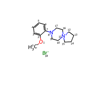 COc1ccccc1N1CC[N+]2(CCCC2)CC1.[Br-]